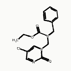 CCOC(=O)N(Cc1ccccc1)Cn1cc(Cl)cnc1=O